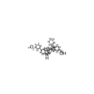 COCc1cccc(-c2ccc3[nH]nc(Nc4nc5cc(CO)ccc5n4C4CCCCC4)c3c2)c1